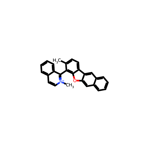 Cc1ccc2c(oc3cc4ccccc4cc32)c1-c1c2ccccc2cc[n+]1C